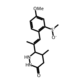 COc1ccc(/C=C(\C)C2NNC(=O)CC2C)c([S+](C)[O-])c1